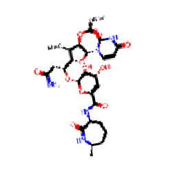 CCCCCCCCCC(=O)O[C@@H]1[C@H](OC)[C@@H]([C@@H](CC(N)=O)O[C@H]2OC(C(=O)N[C@H]3CCC[C@@H](C)NC3=O)=C[C@@H](O)[C@H]2O)O[C@H]1n1ccc(=O)[nH]c1=O